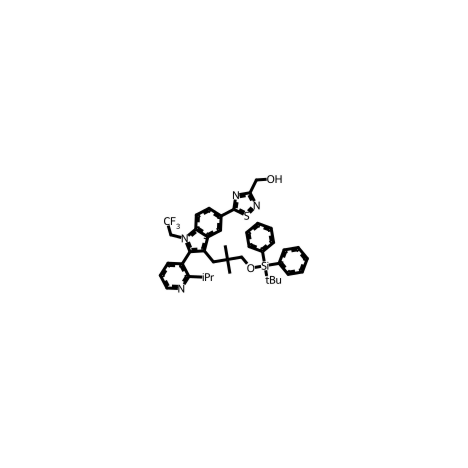 CC(C)c1ncccc1-c1c(CC(C)(C)CO[Si](c2ccccc2)(c2ccccc2)C(C)(C)C)c2cc(-c3nc(CO)ns3)ccc2n1CC(F)(F)F